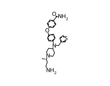 C[C@H](CCN)N1CCC(N(Cc2ccsc2)c2ccc(Oc3ccc(C(N)=O)cc3)cc2)CC1